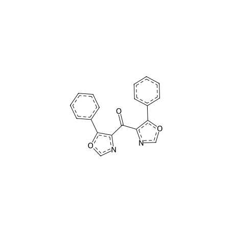 O=C(c1ncoc1-c1ccccc1)c1ncoc1-c1ccccc1